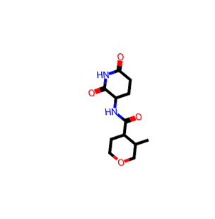 CC1COCCC1C(=O)NC1CCC(=O)NC1=O